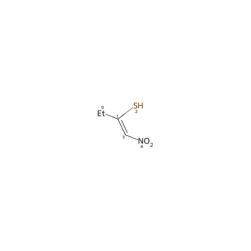 CCC(S)=C[N+](=O)[O-]